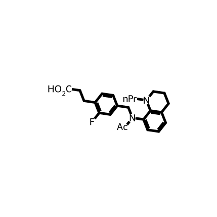 CCCN1CCCc2cccc(N(Cc3ccc(CCC(=O)O)c(F)c3)C(C)=O)c21